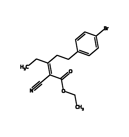 CCOC(=O)C(C#N)=C(CC)CCc1ccc(Br)cc1